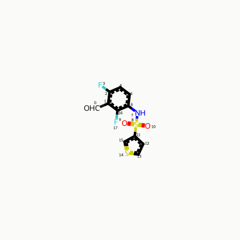 O=Cc1c(F)ccc(NS(=O)(=O)c2ccsc2)c1F